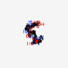 Cc1ncsc1-c1ccc(C(C)NC(=O)[C@@H]2C[C@@H](O)CN2C(=O)C(NC(=O)CCCc2cccc(OCC(CCC(N)=O)NC(=O)[C@@H]3CCCN3C(=O)C(NC(=O)c3cc4cc(C(=O)P(=O)(O)O)ccc4[nH]3)C(C)C)c2Cl)C(C)(C)C)cc1